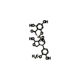 COc1cc(C2C3C=C([C@@H]4CC(=O)c5c(O)cc(O)cc5O4)C4C2COC4(O)C3=O)ccc1O